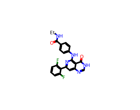 CCNC(=O)c1ccc(Nc2nc(-c3c(F)cccc3F)cc3nc[nH]c(=O)c23)cc1